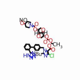 CCCCc1nc(Cl)c(C(=O)OC(C)OC(=O)O[C@@H]2CO[C@H]3[C@@H]2OC[C@H]3OC(=O)N2CCC(O[N+](=O)[O-])CC2)n1Cc1ccc(-c2ccccc2-c2nnn[nH]2)cc1